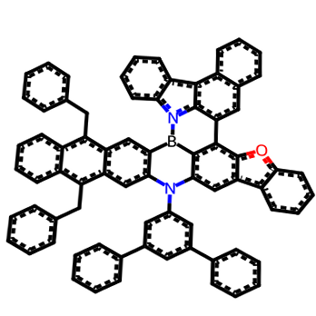 c1ccc(Cc2c3ccccc3c(Cc3ccccc3)c3cc4c(cc23)B2c3c(cc5c(oc6ccccc65)c3-c3cc5ccccc5c5c6ccccc6n2c35)N4c2cc(-c3ccccc3)cc(-c3ccccc3)c2)cc1